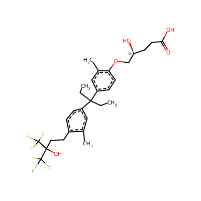 CCC(CC)(c1ccc(CCC(O)(C(F)(F)F)C(F)(F)F)c(C)c1)c1ccc(OC[C@@H](O)CCC(=O)O)c(C)c1